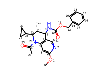 COc1cc2c(cn1)C(NC(=O)OCc1ccccc1)[C@@H](C)[C@H](C1CC1)N2C(C)=O